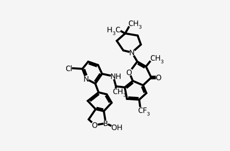 Cc1c(N2CCC(C)(C)CC2)oc2c(C(C)Nc3ccc(Cl)nc3-c3ccc4c(c3)COB4O)cc(C(F)(F)F)cc2c1=O